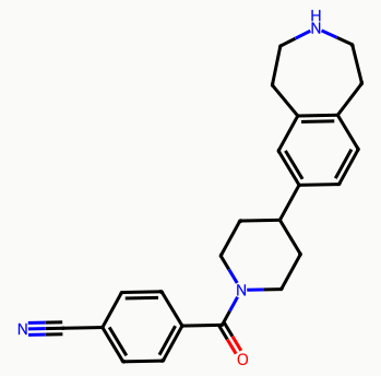 N#Cc1ccc(C(=O)N2CCC(c3ccc4c(c3)CCNCC4)CC2)cc1